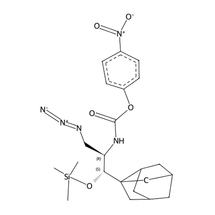 C[Si](C)(C)O[C@H]([C@@H](CN=[N+]=[N-])NC(=O)Oc1ccc([N+](=O)[O-])cc1)C12CC3CC(CC1C3)C2